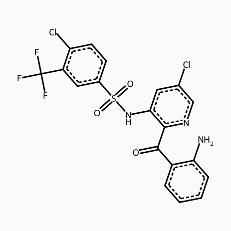 Nc1ccccc1C(=O)c1ncc(Cl)cc1NS(=O)(=O)c1ccc(Cl)c(C(F)(F)F)c1